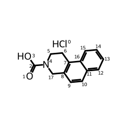 Cl.O=C(O)N1CCc2c(ccc3ccccc23)C1